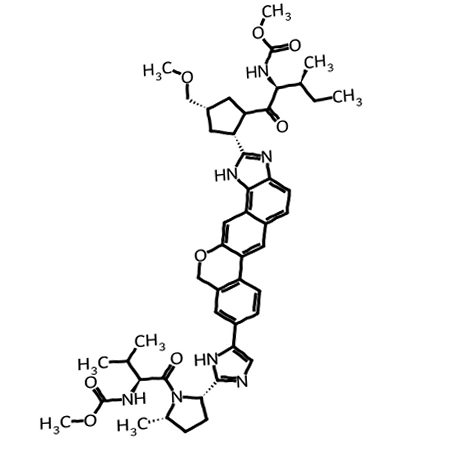 CC[C@H](C)[C@H](NC(=O)OC)C(=O)C1C[C@@H](COC)C[C@H]1c1nc2ccc3cc4c(cc3c2[nH]1)OCc1cc(-c2cnc([C@@H]3CC[C@H](C)N3C(=O)[C@@H](NC(=O)OC)C(C)C)[nH]2)ccc1-4